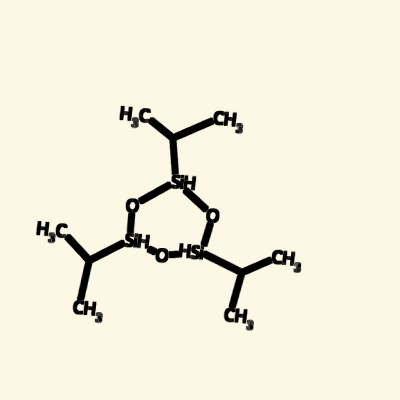 CC(C)[SiH]1O[SiH](C(C)C)O[SiH](C(C)C)O1